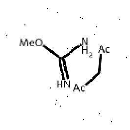 CC(=O)CC(C)=O.COC(=N)N